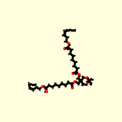 CCCCC/C=C\CCOC(=O)CCCCCCCC(=O)OCC1(COC(=O)CCCCCCCC(=O)OCC/C=C\CCCCC)COC(C)(C)OC1